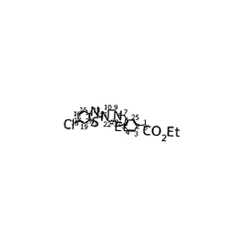 CCOC(=O)Cc1cccc(CN2CCN(c3nc4ccc(Cl)cc4s3)CC2CC)c1